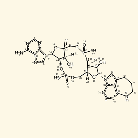 Nc1ncnc2c1ncn2[C@@H]1O[C@@H]2COP(=O)(S)O[C@H]3[C@@H](O)[C@H](n4cc5c6c(ncnc64)NCCC5)O[C@@H]3COP(=S)(S)O[C@@H]1[C@@H]2O